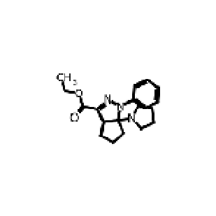 CCOC(=O)C1=NN(c2ccccc2)C2(N3CCCC3)CCCC12